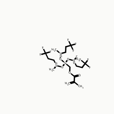 C=C(C)C(=O)OC[Si](O[SiH](C)CCC(F)(F)F)(O[SiH](C)CCC(F)(F)F)O[SiH](C)CCC(F)(F)F